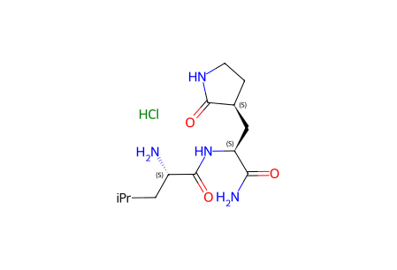 CC(C)C[C@H](N)C(=O)N[C@@H](C[C@@H]1CCNC1=O)C(N)=O.Cl